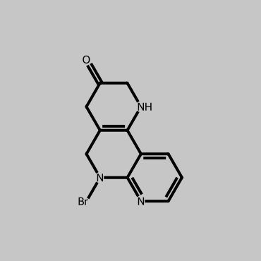 O=C1CNC2=C(C1)CN(Br)c1ncccc12